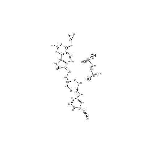 CN(C)Cc1c(OCC2CC2)ccc2c(CCC3CCN(Cc4ccnc(C#N)c4)CC3)noc12.O=C(O)/C=C/C(=O)O